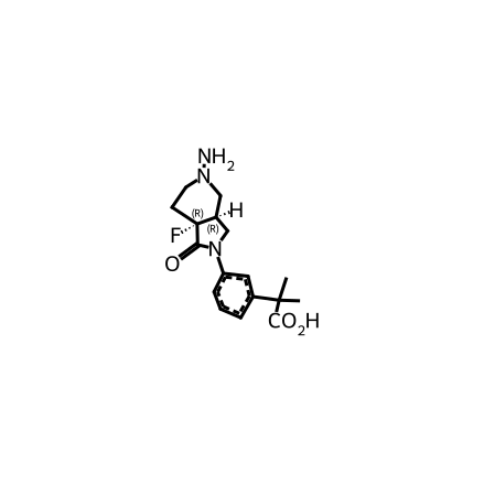 CC(C)(C(=O)O)c1cccc(N2C[C@@H]3CN(N)CC[C@]3(F)C2=O)c1